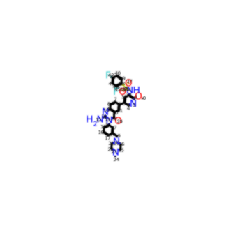 COc1ncc(-c2ccc3nc(N)n(-c4cccc(CN5CCN(C)CC5)c4)c(=O)c3c2)cc1NS(=O)(=O)c1ccc(F)cc1F